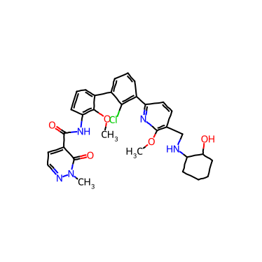 COc1nc(-c2cccc(-c3cccc(NC(=O)c4ccnn(C)c4=O)c3OC)c2Cl)ccc1CNC1CCCCC1O